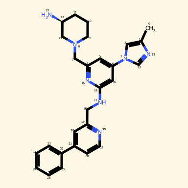 Cc1cn(-c2cc(CN3CCC[C@H](N)C3)nc(NCc3cc(-c4ccccc4)ccn3)c2)cn1